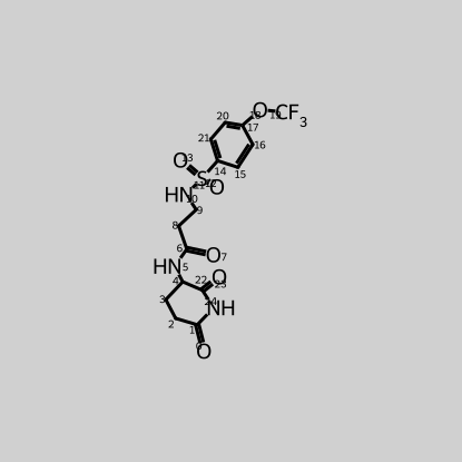 O=C1CCC(NC(=O)CCNS(=O)(=O)c2ccc(OC(F)(F)F)cc2)C(=O)N1